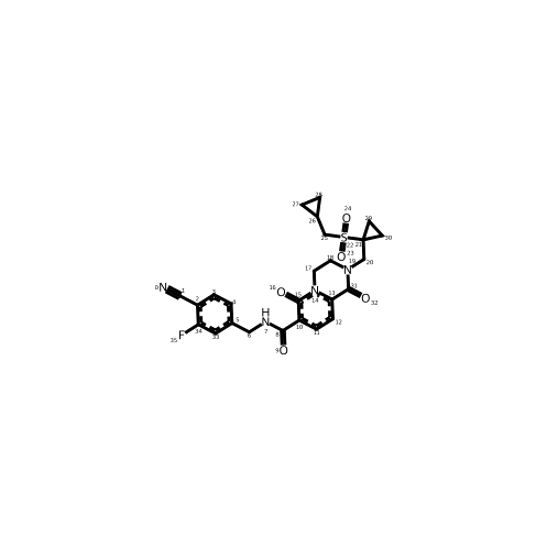 N#Cc1ccc(CNC(=O)c2ccc3n(c2=O)CCN(CC2(S(=O)(=O)CC4CC4)CC2)C3=O)cc1F